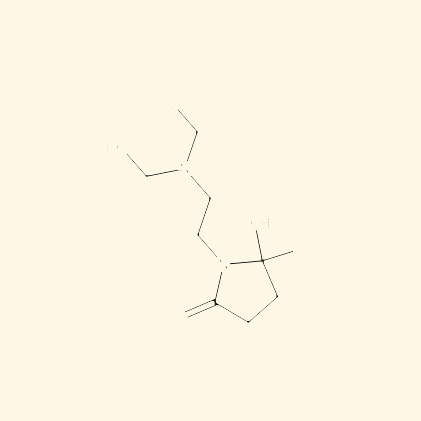 CCN(CC)CCN1C(=O)CCC1(C)C